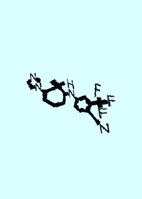 CC1(C)C(Nc2ccc(C#N)c(C(F)(F)F)c2)CCCC1n1ccnc1